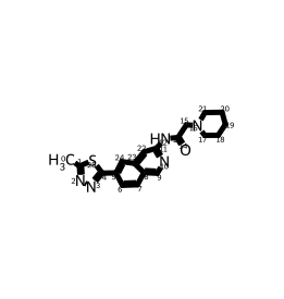 Cc1nnc(-c2ccc3cnc(NC(=O)CN4CCCCC4)cc3c2)s1